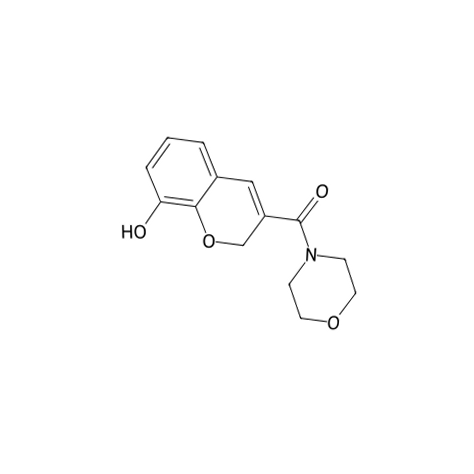 O=C(C1=Cc2cccc(O)c2OC1)N1CCOCC1